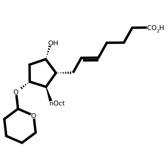 CCCCCCCC[C@@H]1[C@@H](CC=CCCCC(=O)O)[C@@H](O)C[C@H]1OC1CCCCO1